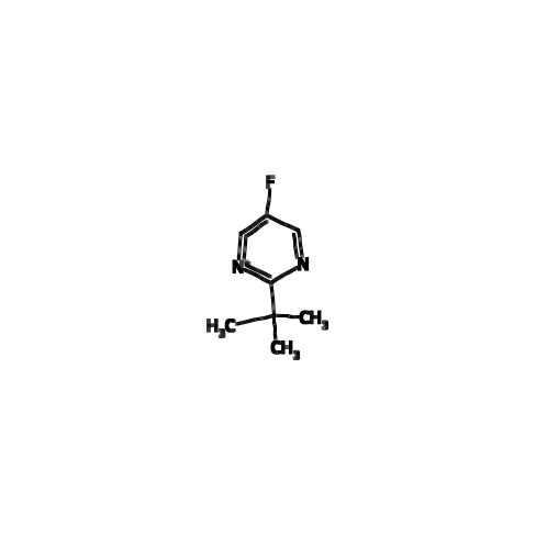 CC(C)(C)C1=[N+]=C=C(F)C=N1